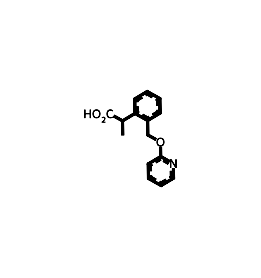 CC(C(=O)O)c1ccccc1COc1ccccn1